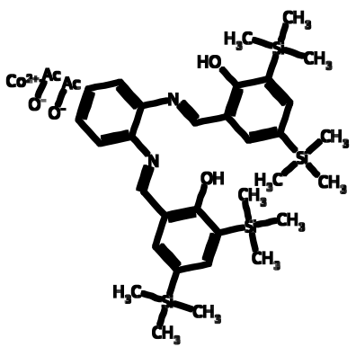 CC(=O)[O-].CC(=O)[O-].C[Si](C)(C)c1cc(C=Nc2ccccc2N=Cc2cc([Si](C)(C)C)cc([Si](C)(C)C)c2O)c(O)c([Si](C)(C)C)c1.[Co+2]